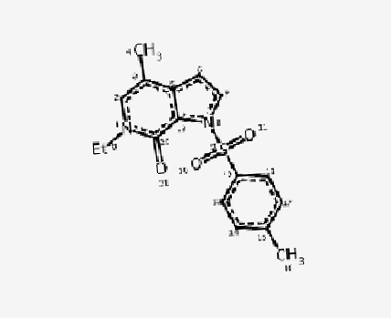 CCn1cc(C)c2ccn(S(=O)(=O)c3ccc(C)cc3)c2c1=O